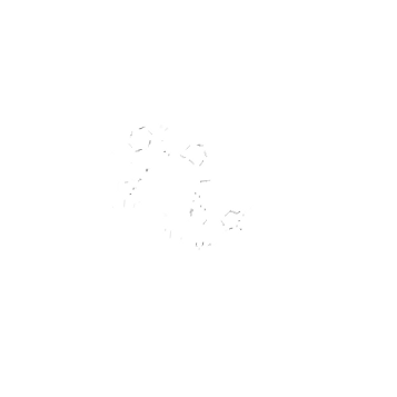 COc1nn(C)cc1C(=O)N[S@@]1(=O)=NC(=O)c2ccc3c(c2)N(C[C@@H]2CC[C@H]2[C@H]2OC(O)C[C@@H]2CC[C@H](C)C1)C[C@@]1(CCCc2cc(Cl)ccc21)CC3